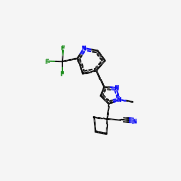 Cn1nc(-c2ccnc(C(F)(F)F)c2)cc1C1(C#N)CCC1